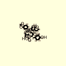 CC(C)CN(C([C@H](O)[C@H](Cc1ccc(O)cc1)NC(=O)O)[C@@H]1CO[C@H]2OCC[C@H]21)S(=O)(=O)c1ccc2c(c1)OCO2